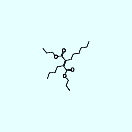 CCCCCCC(C(=O)OCCC)=C(CCCC)C(=O)OCCC